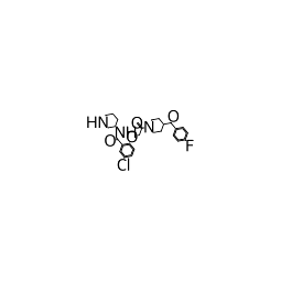 O=C(NC1CCCNC1)c1cc(Cl)ccc1OCC(=O)N1CCC(C(=O)c2ccc(F)cc2)CC1